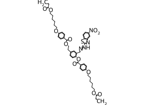 C=CC(=O)OCCCCCCOc1ccc(C(=O)OCCc2ccc(OC(=O)c3ccc(OCCCCCCOC(=O)C=C)cc3)c(/C=N/Nc3nc4cc([N+](=O)[O-])ccc4s3)c2)cc1